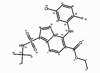 CCOC(=O)c1cnc2c(S(=O)(=O)NC(C)(C)C)cnn2c1Nc1cc(Cl)ccc1F